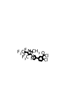 Cn1nc(C(F)(F)C(F)(F)F)c(C(F)(F)F)c1-n1cc(-c2ccc(Cl)c(C(=O)Cl)c2)cn1